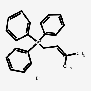 CC(C)=CC[P+](c1ccccc1)(c1ccccc1)c1ccccc1.[Br-]